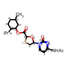 CC(=O)Nc1ccn(C2CSC(C(=O)OC3CC(C)CCC3C(C)C)O2)c(=O)n1